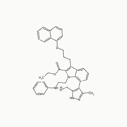 CCOC(=O)c1c(CCCOc2cccc3ccccc23)c2cccc(-c3c(C)n[nH]c3CO)c2n1CCNc1ccccc1